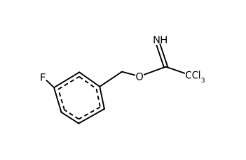 N=C(OCc1cccc(F)c1)C(Cl)(Cl)Cl